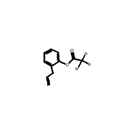 C=CCc1ccccc1OC(=O)C(Br)(Br)Br